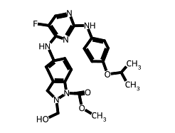 COC(=O)N1c2ccc(Nc3nc(Nc4ccc(OC(C)C)cc4)ncc3F)cc2CN1CO